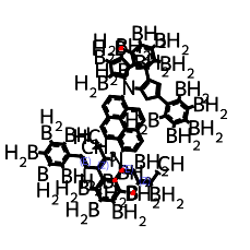 BC/C(=C(B)\C(B)=C(\B)C#C)N(/C(C#C)=C(/C=C(\C)c1c(B)c(B)c(B)c(B)c1B)c1c(B)c(B)c(B)c(B)c1B)c1ccc2ccc3c(N(C4=C(c5c(B)c(B)c(B)c(B)c5B)C=C(c5c(B)c(B)c(B)c(B)c5B)C4)C4=C(B)C(B)=C(B)C4B)ccc4ccc1c2c43